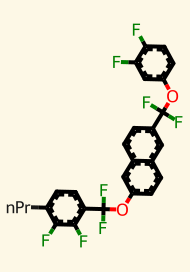 CCCc1ccc(C(F)(F)Oc2ccc3cc(C(F)(F)Oc4ccc(F)c(F)c4)ccc3c2)c(F)c1F